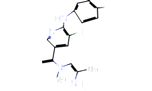 C=C(c1cnc(Nc2ccc(Cl)cc2)c(Cl)c1)N(/C=C(\N)C(C)(C)C)CCCC